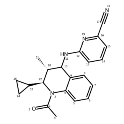 CC(=O)N1c2ccccc2C(Nc2cccc(C#N)n2)[C@@H](C)[C@@H]1C1CC1